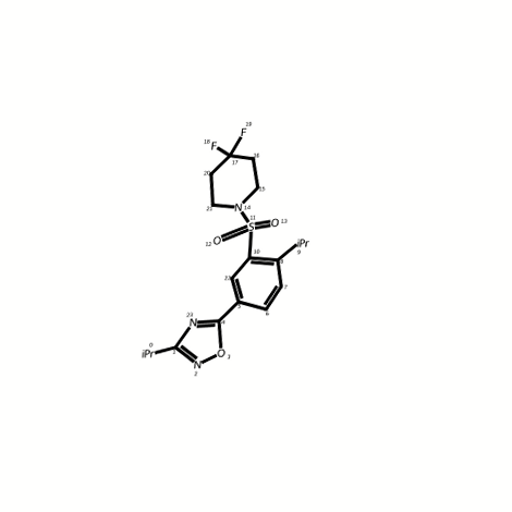 CC(C)c1noc(-c2ccc(C(C)C)c(S(=O)(=O)N3CCC(F)(F)CC3)c2)n1